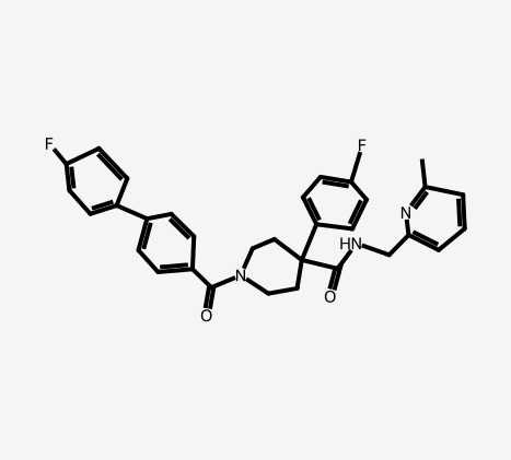 Cc1cccc(CNC(=O)C2(c3ccc(F)cc3)CCN(C(=O)c3ccc(-c4ccc(F)cc4)cc3)CC2)n1